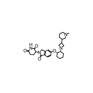 CN1CCCC(C2CN([C@H]3CCCC[C@H]3Oc3ccc4c(c3)CN(C3CCC(=O)NC3=O)C4=O)C2)C1